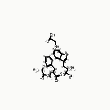 C[C@H](N)C(=O)O.NCC(=O)O.N[C@@H](Cc1c[nH]c2ccccc12)C(=O)O.N[C@@H](Cc1ccccc1)C(=O)O